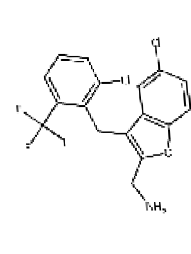 NCc1oc2ccc(Cl)cc2c1Cc1c(Cl)cccc1C(F)(F)F